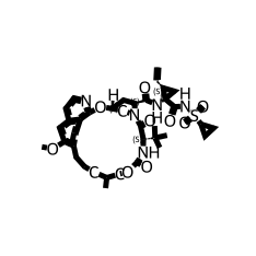 C=C[C@@H]1C[C@]1(NC(=O)[C@@H]1C[C@@H]2CN1C(=O)[C@H](C(C)(C)C)NC(=O)OCC(C)CCCc1cc3c(nccc3cc1OC)O2)C(=O)NS(=O)(=O)C1CC1